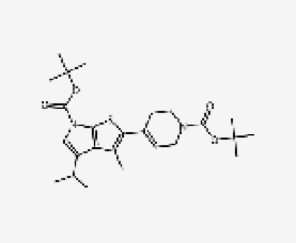 Cc1c(C2=CCN(C(=O)OC(C)(C)C)CC2)sc2c1c(C(C)C)cn2C(=O)OC(C)(C)C